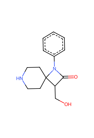 O=C1C(CO)C2(CCNCC2)N1c1ccccc1